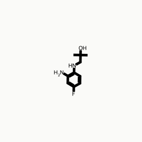 CC(C)(O)CNc1ccc(F)cc1N